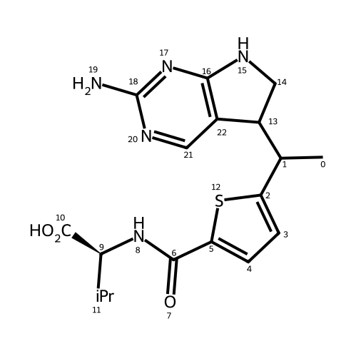 CC(c1ccc(C(=O)N[C@H](C(=O)O)C(C)C)s1)C1CNc2nc(N)ncc21